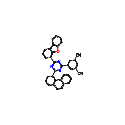 N#Cc1cc(C#N)cc(-c2nc(-c3cccc4c3oc3ccccc34)nc(-c3cccc4ccc5ccccc5c34)n2)c1